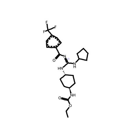 CCOC(=O)N[C@H]1CC[C@H](N/C(=N\C(=O)c2ccc(C(F)(F)F)cc2)NC2CCCC2)CC1